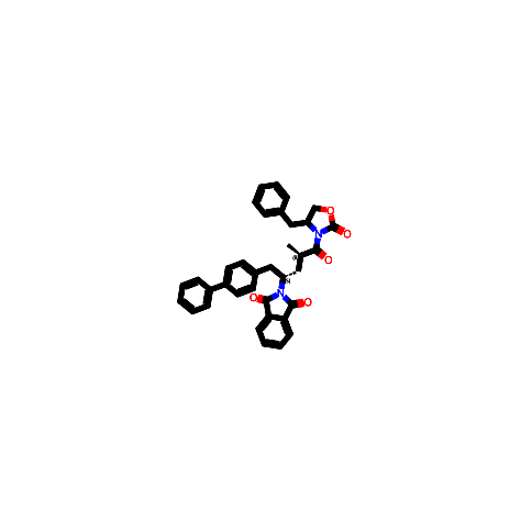 C[C@H](C[C@@H](Cc1ccc(-c2ccccc2)cc1)N1C(=O)c2ccccc2C1=O)C(=O)N1C(=O)OCC1Cc1ccccc1